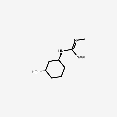 C/N=C(\NC)N[C@H]1CCC[C@H](O)C1